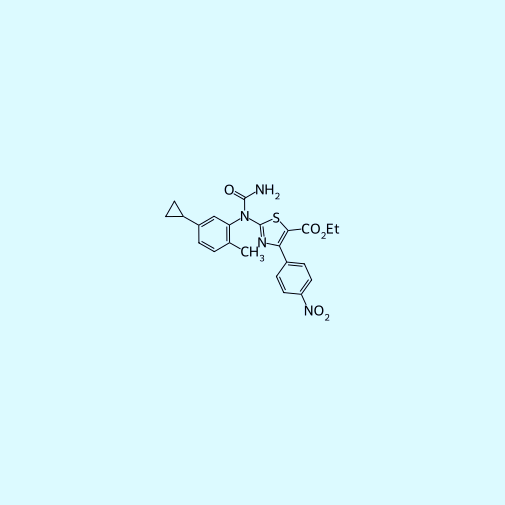 CCOC(=O)c1sc(N(C(N)=O)c2cc(C3CC3)ccc2C)nc1-c1ccc([N+](=O)[O-])cc1